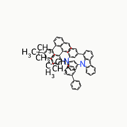 CC(C)(C)c1cc(-c2cccc3cccc(-c4ccccc4N(c4ccc(-c5ccccc5)cc4)c4cccc(-c5cccc6c7ccccc7n(-c7ccccc7)c56)c4)c23)cc(C(C)(C)C)c1